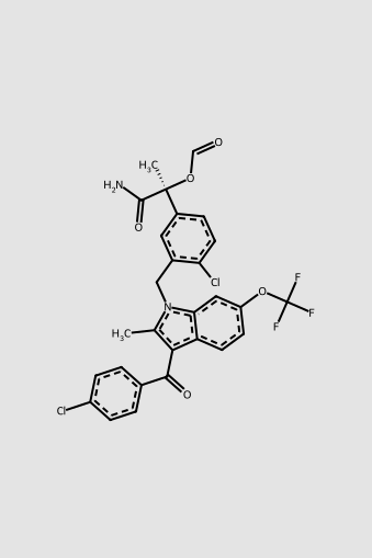 Cc1c(C(=O)c2ccc(Cl)cc2)c2ccc(OC(F)(F)F)cc2n1Cc1cc([C@](C)(OC=O)C(N)=O)ccc1Cl